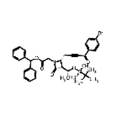 C[C@@H](O[Si](C)(C)C(C)(C)C)[C@@H]1C(=O)N(CC(=O)OC(c2ccccc2)c2ccccc2)[C@@H]1CC#CC(=O)c1ccc(Br)cc1